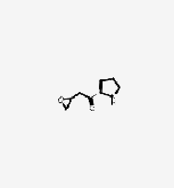 O=C(CC1CO1)[C@@H]1CCCN1